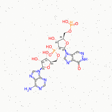 Nc1ncnc2c1ncn2[C@@H]1O[C@H](COP(=O)(O)[C@@H]2[C@H](O)[C@@H](CO[PH](=O)O)O[C@H]2n2cnc3c(=O)[nH]ncc32)[C@@H](O)[C@H]1O